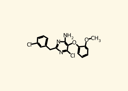 COc1ccccc1Oc1c(N)nc(Cc2cccc(Cl)c2)nc1Cl